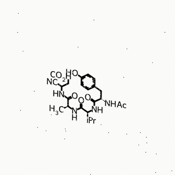 CC(=O)N[C@@H](Cc1ccc(O)cc1)C(=O)N[C@H](C(=O)N[C@@H](C)C(=O)NC(C#N)CC(=O)O)C(C)C